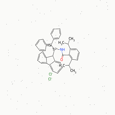 CC(C)c1cccc(C(C)C)c1C(=O)[NH][Ti+2]([CH]1c2ccccc2-c2ccccc21)[SiH](c1ccccc1)c1ccccc1.[Cl-].[Cl-]